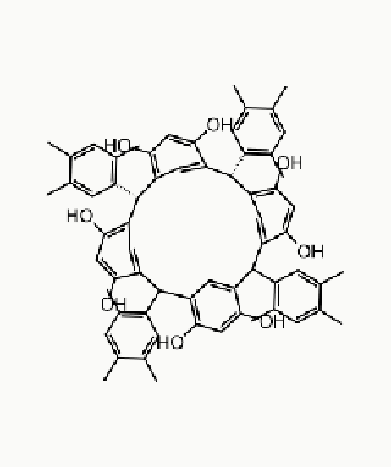 Cc1cc(C)c(C2c3cc(c(O)cc3O)C(c3cc(C)c(C)cc3C)c3cc(c(O)cc3O)[C@H](c3cc(C)c(C)cc3C)c3cc(c(O)cc3O)[C@H](c3cc(C)c(C)cc3C)c3cc2c(O)cc3O)cc1C